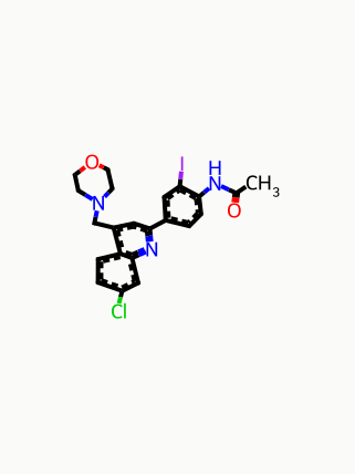 CC(=O)Nc1ccc(-c2cc(CN3CCOCC3)c3ccc(Cl)cc3n2)cc1I